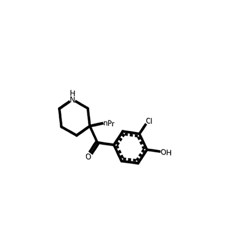 CCCC1(C(=O)c2ccc(O)c(Cl)c2)CCCNC1